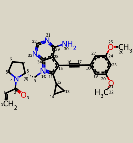 C=CC(=O)N1CCC[C@@H]1Cn1c(C2CC2)c(C#Cc2cc(OC)cc(OC)c2)c2c(N)ncnc21